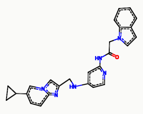 O=C(Cn1ccc2ccccc21)Nc1cc(NCc2cn3cc(C4CC4)ccc3n2)ccn1